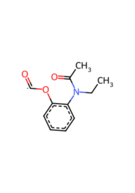 CCN(C(C)=O)c1ccccc1O[C]=O